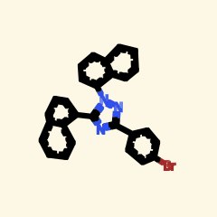 Brc1ccc(-c2nc(-c3cccc4ccccc34)n(-c3cccc4ccccc34)n2)cc1